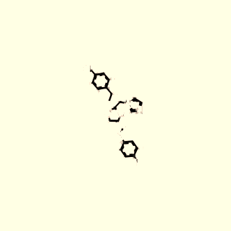 Fc1ccc(SC[C@@H]2CO[C@@](CCc3ccc(Cl)cc3)(Cn3ccnc3)O2)cc1